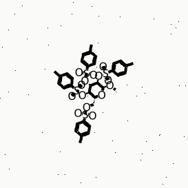 CO[C@H]1O[C@H](COS(=O)(=O)c2ccc(C)cc2)[C@@H](OS(=O)(=O)c2ccc(C)cc2)[C@H](OS(=O)(=O)c2ccc(C)cc2)[C@H]1OS(=O)(=O)c1ccc(C)cc1